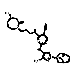 Cc1nn(C2CC3CCC(C2)N3C)cc1Nc1ncc(C#N)c(NCCCN2CCCN(C)CC2=O)n1